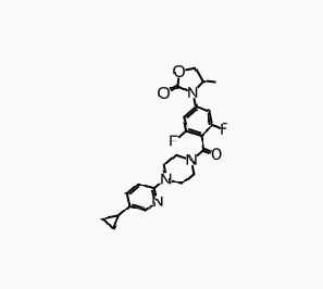 CC1COC(=O)N1c1cc(F)c(C(=O)N2CCN(c3ccc(C4CC4)cn3)CC2)c(F)c1